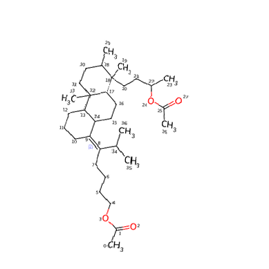 CC(=O)OCCCC/C(=C1\CCCC2C1CCC1C(C)(CCC(C)OC(C)=O)C(C)CCC21C)C(C)C